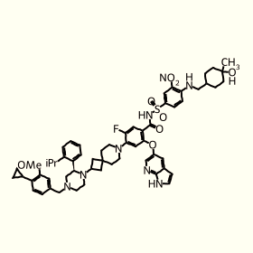 COc1cc(CN2CCN(C3CC4(CCN(c5cc(Oc6cnc7[nH]ccc7c6)c(C(=O)NS(=O)(=O)c6ccc(NCC7CCC(C)(O)CC7)c([N+](=O)[O-])c6)cc5F)CC4)C3)[C@H](c3ccccc3C(C)C)C2)ccc1C1CC1